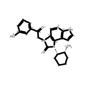 C[C@@H]1CCCC[C@@H]1n1c(=O)n(CC(=O)c2cccc(O)c2)c2cnc3[nH]ccc3c21